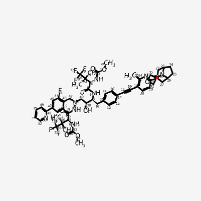 COC(=O)N[C@H](C(=O)N[C@@H](Cc1ccc(C#Cc2ccc(N3CC4CCC(C3)N4C3COC3)nc2C)cc1)[C@@H](O)CN(Cc1c(F)cc(-c2ccccn2)cc1F)NC(=O)[C@@H](NC(=O)OC)C(C)(C)C(F)(F)F)C(C)(C)C(F)(F)F